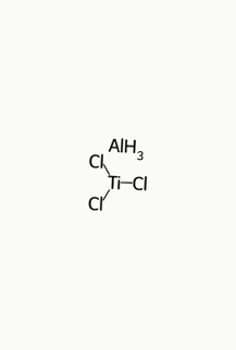 [AlH3].[Cl][Ti]([Cl])[Cl]